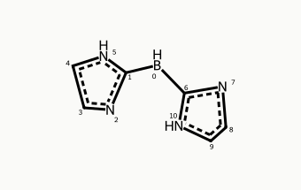 B(c1ncc[nH]1)c1ncc[nH]1